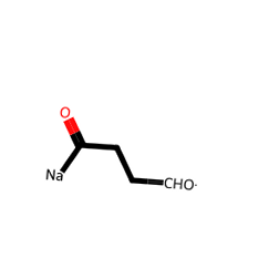 O=[C]CC[C](=O)[Na]